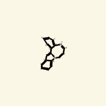 C1=Cn2c(cc3ccccc32)-c2ccccc2N=C1